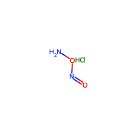 Cl.NON=O